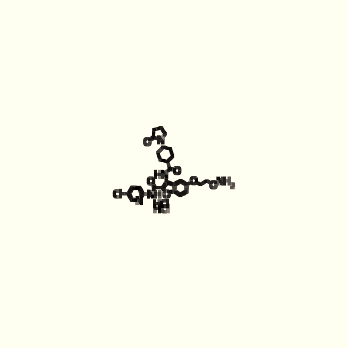 Cl.Cl.NOCCOc1ccc2oc(C(=O)Nc3ccc(Cl)cn3)c(NC(=O)[C@H]3CC[C@H](N4CCCC4=O)CC3)c2c1